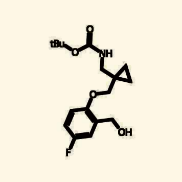 CC(C)(C)OC(=O)NCC1(COc2ccc(F)cc2CO)CC1